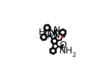 CCCc1c2c(cc(C(=O)c3ccccc3-c3ccccc3)c1-n1c(N)nc3ccccc31)-c1ccccc1C2C(N)=O